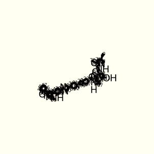 C#Cc1cnc(CNC(=O)[C@@H]2C[C@@H](O)CN2C(=O)[C@@H](NC(=O)[C@H]2CCC3(CC2)C[C@H](N2CCC(c4cnc(N5CCN(c6cc(-c7ccccc7O)nnc6NC)CC5)nc4)CC2)C3)C(C)(C)C)c(OC)c1